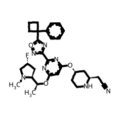 C[C@H](Oc1cc(O[C@H]2CCN[C@H](CC#N)C2)nc(-c2noc(C3(c4ccccc4)CCC3)n2)n1)[C@@H]1C[C@@H](F)CN1C